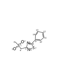 CS(=O)(=O)Cc1nsc(-c2ccccc2)n1